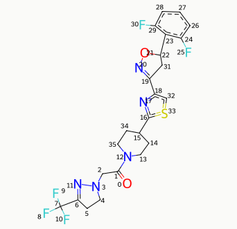 O=C(CN1CCC(C(F)(F)F)=N1)N1CCC(c2nc(C3=NOC(c4c(F)cccc4F)C3)cs2)CC1